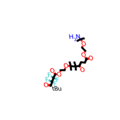 CC(C)(N)OCCOC(=O)CCC(=O)C(C)(C)C(C)(C)OCCOC(=O)C(F)(F)C(F)(F)C(=O)C(C)(C)C